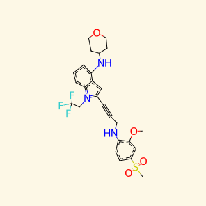 COc1cc(S(C)(=O)=O)ccc1NCC#Cc1cc2c(NC3CCOCC3)cccc2n1CC(F)(F)F